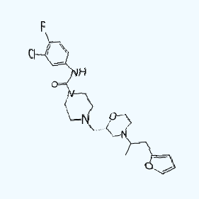 CC(Cc1ccco1)N1CCO[C@@H](CN2CCN(C(=O)Nc3ccc(F)c(Cl)c3)CC2)C1